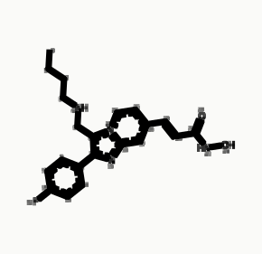 CCCCNCc1c(-c2ccc(F)cc2)nc2cc(C=CC(=O)NO)ccn12